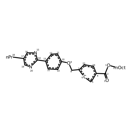 CCCCCCCCOC(=O)c1ccc(COc2ccc(-c3ncc(CCC)cn3)cc2)cc1